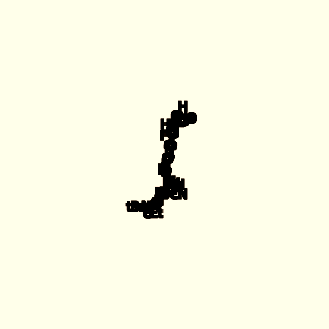 CCC1(C(=O)NC(C)(C)C)CCN(c2ccc(-c3nc(-c4cnn(C5CCC(N6CCC(c7ccc(N[C@H]8CCC(=O)NC8=O)cc7F)CC6)CC5)c4)cn4ncc(C#N)c34)cn2)CC1